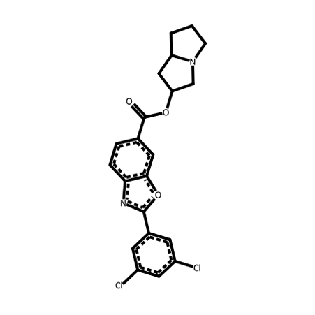 O=C(OC1CC2CCCN2C1)c1ccc2nc(-c3cc(Cl)cc(Cl)c3)oc2c1